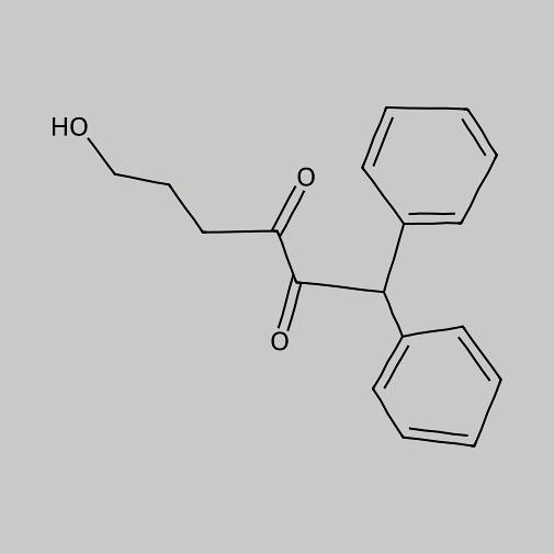 O=C(CCCO)C(=O)C(c1ccccc1)c1ccccc1